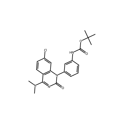 CN(C)c1nc(=O)n(-c2cccc(NC(=O)OC(C)(C)C)c2)c2cc(Cl)ccc12